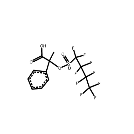 CC(OS(=O)(=O)C(F)(F)C(F)(F)C(F)(F)C(F)(F)F)(C(=O)O)c1ccccc1